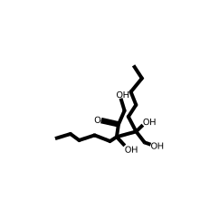 CCCCCC(O)(CO)C(O)(CCCCC)C(=O)CO